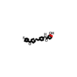 O=C(c1ccc(F)cc1)C1CCN(CCC2CCC(NC(=O)C3CC4CCC3C(O)C4)CC2)CC1